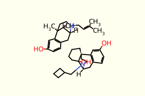 CC(C)=CCN1CC[C@@]2(C)c3cc(O)ccc3C[C@@H]1[C@@H]2C.Oc1ccc2c(c1)[C@@]13CCCC[C@@]1(O)[C@@H](C2)N(CC1CCC1)CC3